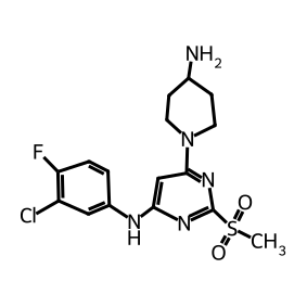 CS(=O)(=O)c1nc(Nc2ccc(F)c(Cl)c2)cc(N2CCC(N)CC2)n1